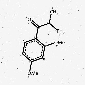 COc1ccc(C(=O)C(C)P)c(OC)c1